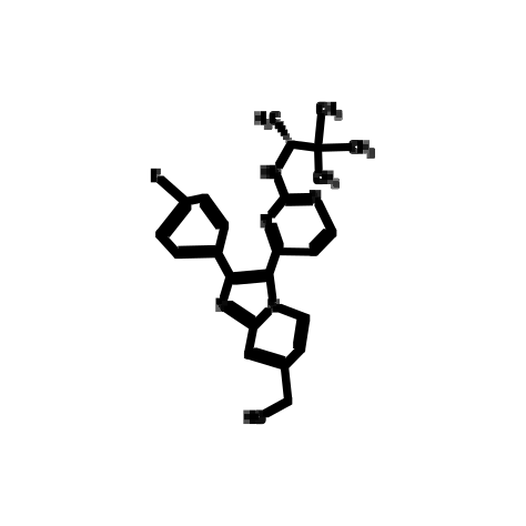 C[C@@H](Nc1nccc(-c2c(-c3ccc(F)cc3)nc3cc(CO)ccn23)n1)C(C)(C)C